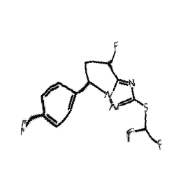 Fc1ccc(C2CC(F)c3nc(SC(F)F)nn32)cc1